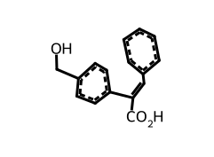 O=C(O)C(=Cc1ccccc1)c1ccc(CO)cc1